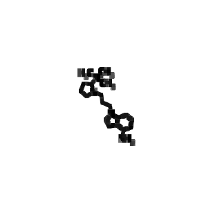 C[N+](C)(C)C1CCCN1CCCn1ccc2c(N)cccc21